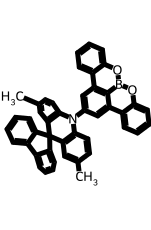 Cc1ccc2c(c1)C1(c3ccccc3-c3ccccc31)c1cc(C)ccc1N2c1cc2c3c(c1)-c1ccccc1OB3Oc1ccccc1-2